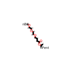 CCCCCC(C)OC(=O)CCCOCCOCCOCCCC